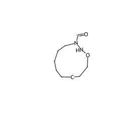 O=[C]N1CCCCCCCCON1